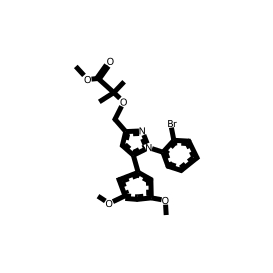 COC(=O)C(C)(C)OCc1cc(-c2cc(OC)cc(OC)c2)n(-c2ccccc2Br)n1